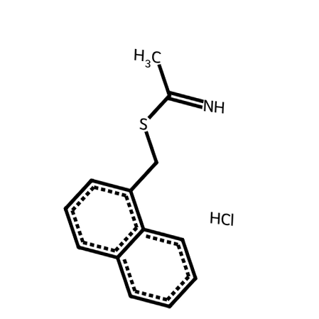 CC(=N)SCc1cccc2ccccc12.Cl